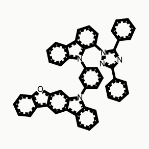 c1ccc(-c2nc(-c3ccccc3)n(-c3cccc4c5ccccc5n(-c5cccc(-n6c7ccccc7c7cc8c(cc76)oc6ccccc68)c5)c34)n2)cc1